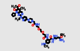 CNc1ccc(C(=O)N/C(N)=C/C=C(\N)OC)c(NC(=O)CCOCCOCCNC(=O)CN2CCN(c3ccc(N(C)c4ncc5c(C)c(C(C)=O)c(=O)n(C6CCCC6)c5n4)nc3)CC2)c1